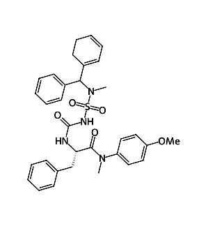 COc1ccc(N(C)C(=O)[C@H](Cc2ccccc2)NC(=O)NS(=O)(=O)N(C)C(C2=CC=CCC2)c2ccccc2)cc1